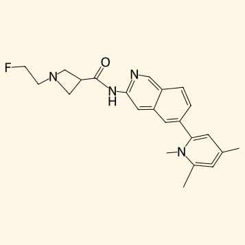 CC1=C=C(C)N(C)C(c2ccc3cnc(NC(=O)C4CN(CCF)C4)cc3c2)=C1